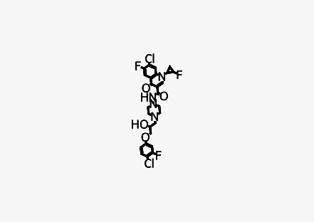 O=C(NN1CCN(CC(O)COc2ccc(Cl)c(F)c2)CC1)c1cn(C2CC2F)c2cc(Cl)c(F)cc2c1=O